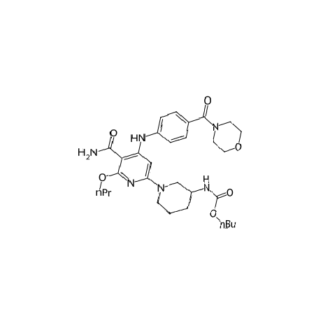 CCCCOC(=O)NC1CCCN(c2cc(Nc3ccc(C(=O)N4CCOCC4)cc3)c(C(N)=O)c(OCCC)n2)C1